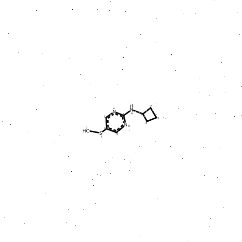 OSc1cnc(NC2CCC2)nc1